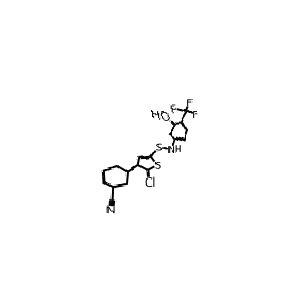 N#CC1CCCC(C2C=C(SNC3=CCC(C(F)(F)F)C(O)C3)SC2Cl)C1